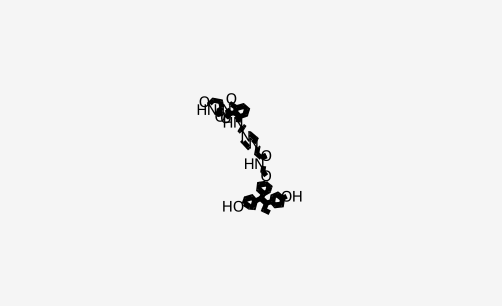 CCC(=C(c1ccc(O)cc1)c1ccc(OCCNC(=O)CCN2CCN(CCNc3cccc4c3C(=O)N(C3CCC(=O)NC3=O)C4=O)CC2)cc1)c1ccc(O)cc1